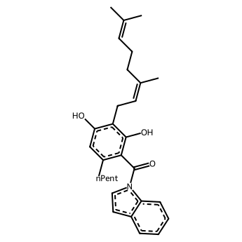 CCCCCc1cc(O)c(CC=C(C)CCC=C(C)C)c(O)c1C(=O)n1ccc2ccccc21